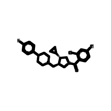 O=C(c1ccc(Cl)cc1Cl)N1C[C@@H](CN2CCC(c3ccc(F)cc3)CC2)[C@H](C2CC2)C1